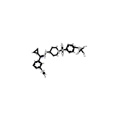 [C-]#[N+]c1cccc(/C(=N/OC2CCN(S(=O)(=O)c3ccc(OC(F)(F)F)cc3)CC2)C2CC2)c1